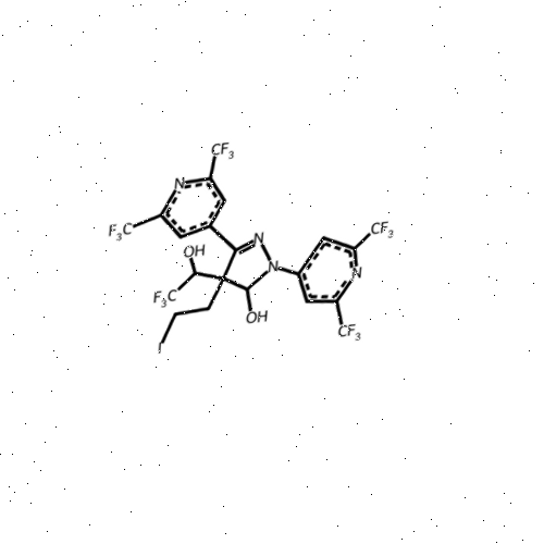 OC1N(c2cc(C(F)(F)F)nc(C(F)(F)F)c2)N=C(c2cc(C(F)(F)F)nc(C(F)(F)F)c2)C1(CCI)C(O)C(F)(F)F